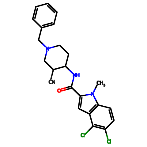 Cn1c(C(=O)NC2CCN(Cc3ccccc3)CC2C#N)cc2c(Cl)c(Cl)ccc21